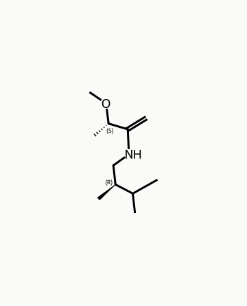 C=C(NC[C@H](C)C(C)C)[C@H](C)OC